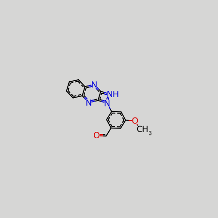 COc1cc(C=O)cc(-n2[nH]c3nc4ccccc4nc32)c1